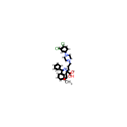 CC=CCC(CCCN1CCN(c2ccc(Cl)c(Cl)c2)CC1)(N=C(c1ccccc1)c1ccccc1)C(=O)O